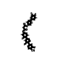 N#Cc1ccc(-c2ccc(-c3ccc(SC(=O)CC(=O)Sc4ccc(-c5ccc(F)c(F)c5)cc4)cc3F)cc2F)cc1F